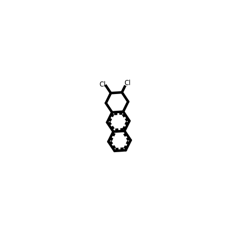 ClC1Cc2cc3ccccc3cc2CC1Cl